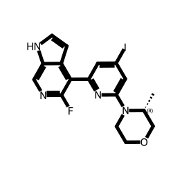 C[C@@H]1COCCN1c1cc(I)cc(-c2c(F)ncc3[nH]ccc23)n1